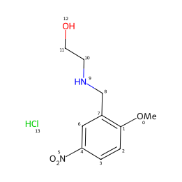 COc1ccc([N+](=O)[O-])cc1CNCCO.Cl